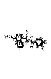 C[C@H](c1cnc(CO)c2ccccc12)N(C)C(=O)Nc1ccc(F)c(Cl)c1